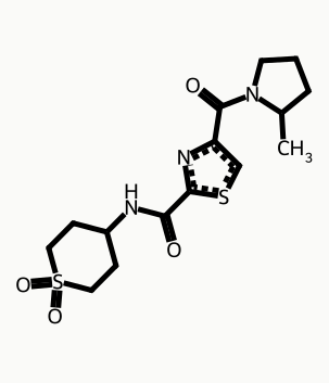 CC1CCCN1C(=O)c1csc(C(=O)NC2CCS(=O)(=O)CC2)n1